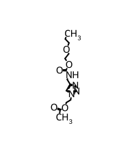 CCCOCCOC(=O)NCc1cn(CCOC(C)=O)nn1